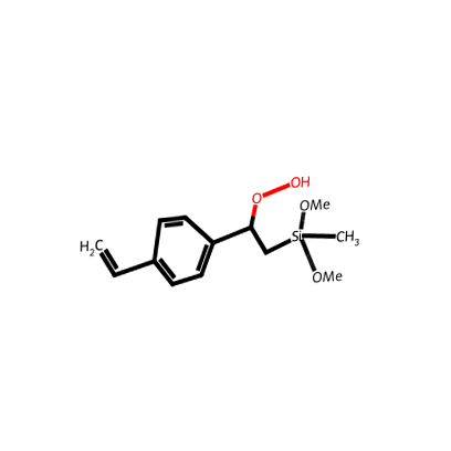 C=Cc1ccc(C(C[Si](C)(OC)OC)OO)cc1